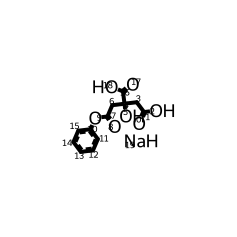 O=C(O)CC(O)(CC(=O)Oc1ccccc1)C(=O)O.[NaH]